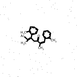 CC(=O)C(C)=C(CC(=O)C(C)=Cc1ccccc1C)c1ccccc1C